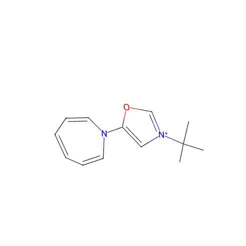 CC(C)(C)[n+]1coc(N2C=CC=CC=C2)c1